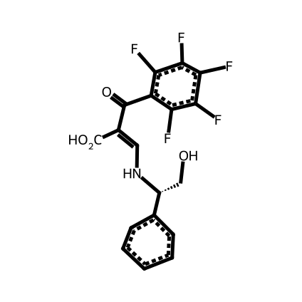 O=C(O)/C(=C\N[C@H](CO)c1ccccc1)C(=O)c1c(F)c(F)c(F)c(F)c1F